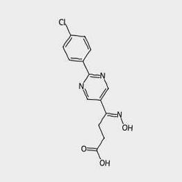 O=C(O)CCC(=NO)c1cnc(-c2ccc(Cl)cc2)nc1